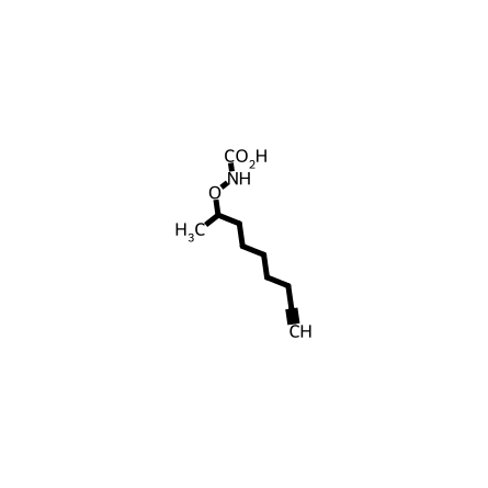 C#CCCCCCC(C)ONC(=O)O